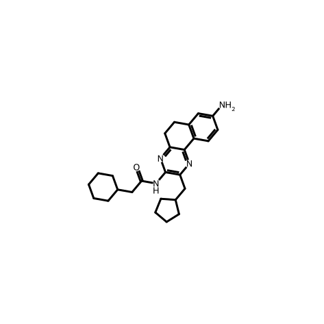 Nc1ccc2c(c1)CCc1nc(NC(=O)CC3CCCCC3)c(CC3CCCC3)nc1-2